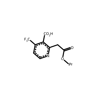 CC(C)OC(=O)Cc1nccc(C(F)(F)F)c1C(=O)O